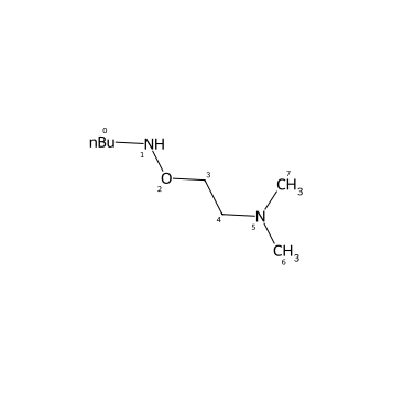 CCCCNOCCN(C)C